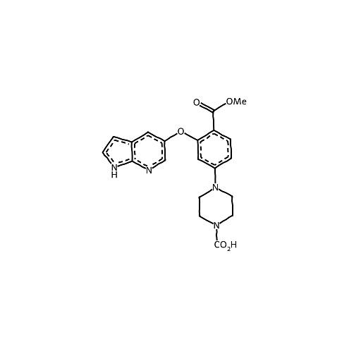 COC(=O)c1ccc(N2CCN(C(=O)O)CC2)cc1Oc1cnc2[nH]ccc2c1